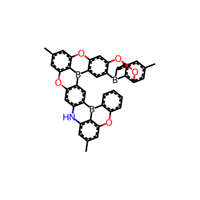 Cc1cc2c3c(c1)Oc1ccccc1B3c1cc3c(cc1N2)Oc1cc(C)cc2c1B3c1cc3c(cc1O2)Oc1cc(C)cc2c1B3c1ccccc1O2